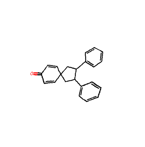 O=C1C=CC2(C=C1)CC(c1ccccc1)C(c1ccccc1)C2